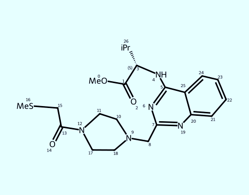 COC(=O)[C@@H](Nc1nc(CN2CCN(C(=O)CSC)CC2)nc2ccccc12)C(C)C